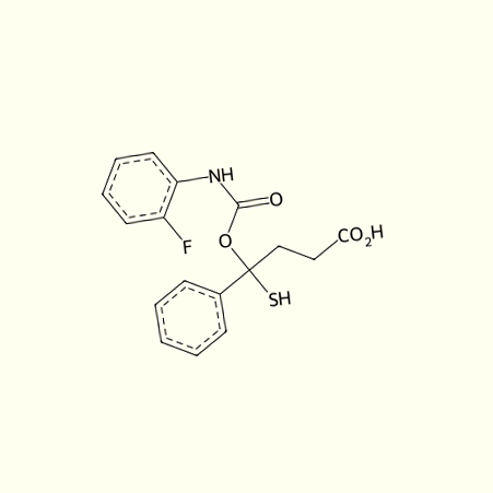 O=C(O)CCC(S)(OC(=O)Nc1ccccc1F)c1ccccc1